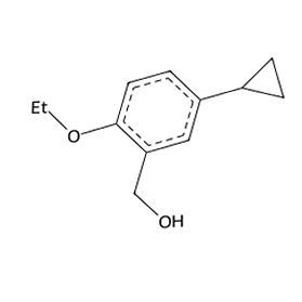 CCOc1ccc(C2CC2)cc1CO